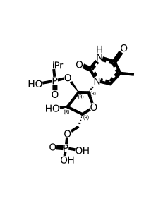 Cc1cn([C@@H]2O[C@H](COP(=O)(O)O)[C@@H](O)[C@H]2OP(=O)(O)C(C)C)c(=O)[nH]c1=O